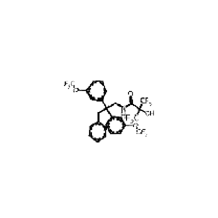 O=C(NCC(Cc1ccccc1)(c1cccc(OC(F)(F)F)c1)c1cccc(OC(F)(F)F)c1)C(O)(C(F)(F)F)C(F)(F)F